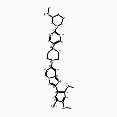 CNC1CCCN(c2ncc(N3CCN(c4ccn5cc(-c6cc(Cl)c(OC)cc6OC)nc5c4)CC3)cn2)C1